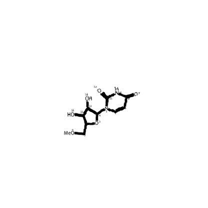 COCC1OC(n2ccc(=O)[nH]c2=O)C(O)C1O